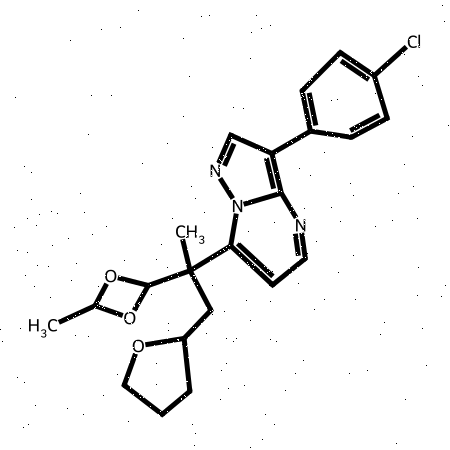 CC1OC(C(C)(CC2CCCO2)c2ccnc3c(-c4ccc(Cl)cc4)cnn23)O1